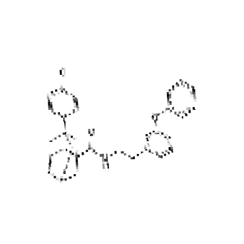 O=C(NCCc1cccc(Oc2ccccc2)c1)C12CC3CC(C1)CC(c1ccc(Cl)cc1)(C3)C2